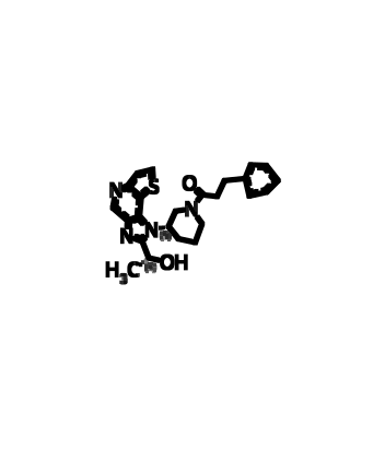 C[C@@H](O)c1nc2cnc3ccsc3c2n1[C@H]1CCCN(C(=O)CCc2ccccc2)C1